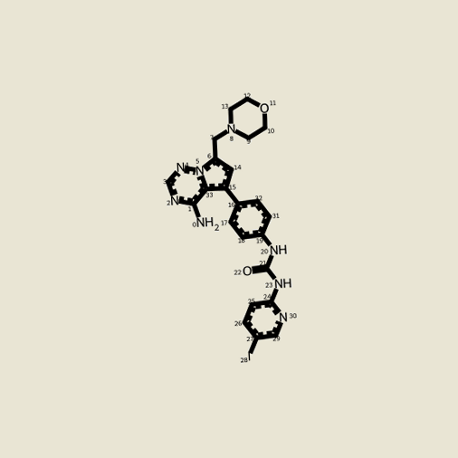 Nc1ncnn2c(CN3CCOCC3)cc(-c3ccc(NC(=O)Nc4ccc(I)cn4)cc3)c12